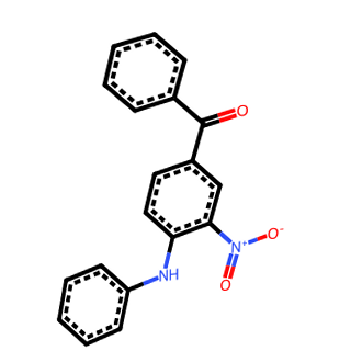 O=C(c1ccccc1)c1ccc(Nc2ccccc2)c([N+](=O)[O-])c1